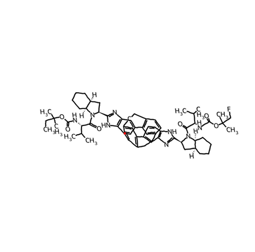 CCC(C)(C)OC(=O)N[C@H](C(=O)N1[C@H](c2nc3cc(-c4cc5ccc4CCc4ccc(c(-c6ccc7[nH]c([C@@H]8C[C@@H]9CCCC[C@@H]9N8C(=O)[C@@H](NC(=O)OC(C)(C)CF)C(C)C)nc7c6)c4)CC5)ccc3[nH]2)C[C@@H]2CCCC[C@@H]21)C(C)C